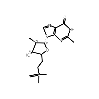 C=P(C)(C)CCC1O[C@@H](n2cnc3c(=O)[nH]c(C)nc32)[C@H](C)[C@@H]1O